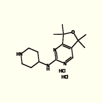 CC1(C)OC(C)(C)c2nc(NC3CCNCC3)ncc21.Cl.Cl